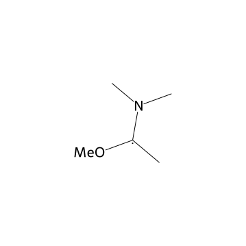 CO[C](C)N(C)C